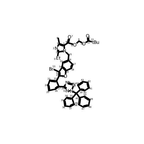 CCc1nc(C)c(C(=O)OCOC(=O)C(C)(C)C)n1Cc1ccc2oc(-c3ccccc3-c3nnn(C(c4ccccc4)(c4ccccc4)c4ccccc4)n3)c(Br)c2c1